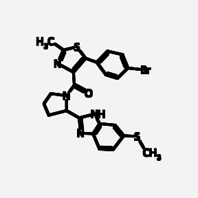 CSc1ccc2nc(C3CCCN3C(=O)c3nc(C)sc3-c3ccc(Br)cc3)[nH]c2c1